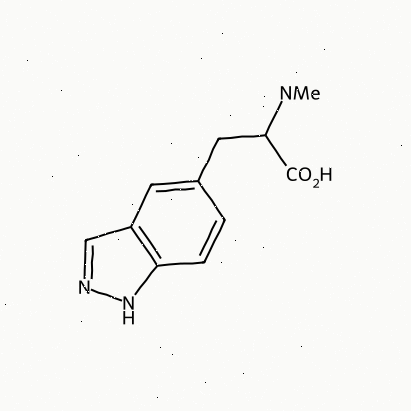 CNC(Cc1ccc2[nH]ncc2c1)C(=O)O